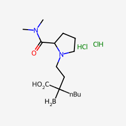 BC(CCCC)(CCN1CCCC1C(=O)N(C)C)C(=O)O.Cl.Cl